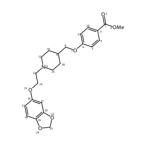 COC(=O)c1ccc(OCC2CCN(CCOc3ccc4c(c3)OCO4)CC2)cc1